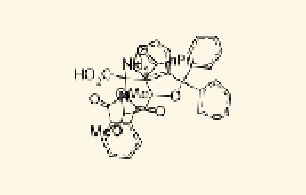 CCCC(=O)C(C(CC(OC)OC)OC(c1ccccc1)(c1ccccc1)c1ccccc1)C(N)(C(=O)O)N1C(=O)c2ccccc2C1=O